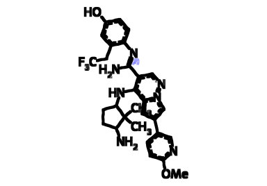 COc1ccc(-c2cc3c(NC4CCC(N)C4(C)C)c(/C(N)=N/c4ccc(O)cc4CC(F)(F)F)cnn3c2)cn1